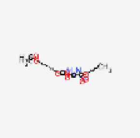 C=C(C)C(=O)OCCCCCCCCCCCOc1ccc(OC(=O)c2ccc(-c3cc([N+](=O)[O-])c(OCCCCCCCC)cc3N)cc2)cc1